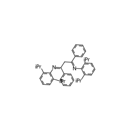 CC(C)c1cccc(C(C)C)c1N=C(CC(=Nc1c(C(C)C)cccc1C(C)C)c1ccccc1)c1ccccc1